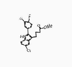 COC(=O)CCCc1c(-c2ccc(F)c(Cl)c2)[nH]c2ccc(Cl)cc12